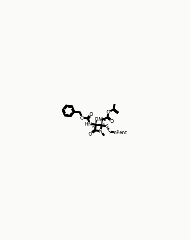 C=C(C)OC(=O)C[C@@]1(SSCCCCC)N(C)C(=O)[C@@]1(NC(=O)OCc1ccccc1)OC